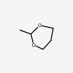 CC1OC[CH]CO1